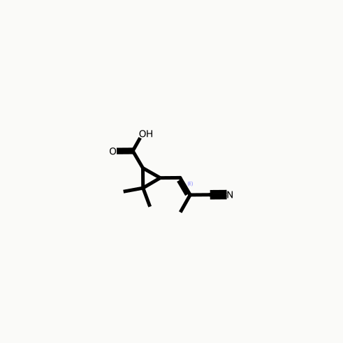 C/C(C#N)=C\C1C(C(=O)O)C1(C)C